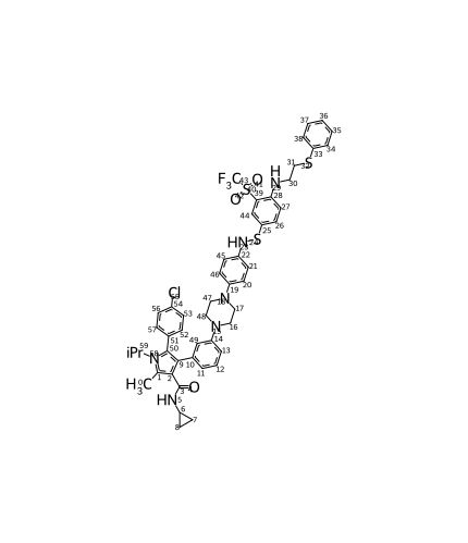 Cc1c(C(=O)NC2CC2)c(-c2cccc(N3CCN(c4ccc(NSc5ccc(NCCSc6ccccc6)c(S(=O)(=O)C(F)(F)F)c5)cc4)CC3)c2)c(-c2ccc(Cl)cc2)n1C(C)C